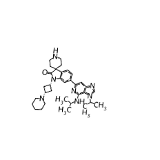 CC(C)Nc1nc(-c2ccc3c(c2)N([C@H]2C[C@@H](N4CCCCC4)C2)C(=O)C32CCNCC2)cc2ncn(C(C)C)c12